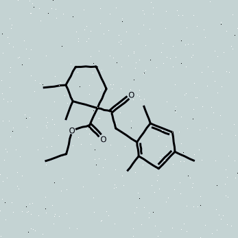 CCOC(=O)C1(C(=O)Cc2c(C)cc(C)cc2C)CCCC(C)C1C